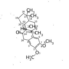 COc1cc2c(cc1OC)[C@]1(C)CCC3C(C)(C)CCC[C@]3(C)[C@H]1C(=O)C2